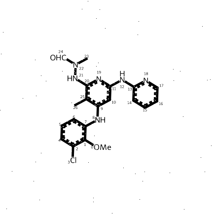 COc1c(Cl)cccc1Nc1cc(Nc2ccccn2)nc(NN(C)C=O)c1C